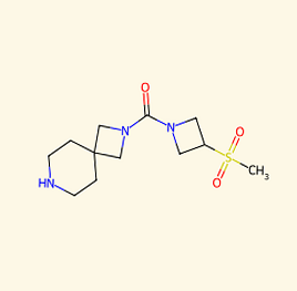 CS(=O)(=O)C1CN(C(=O)N2CC3(CCNCC3)C2)C1